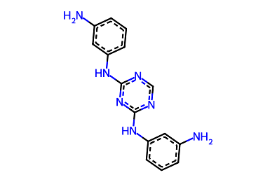 Nc1cccc(Nc2ncnc(Nc3cccc(N)c3)n2)c1